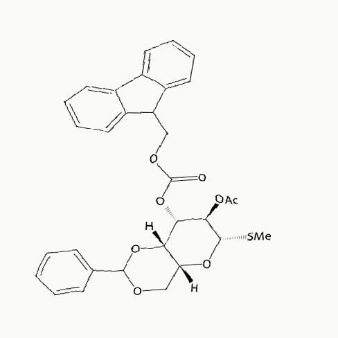 CS[C@@H]1O[C@@H]2COC(c3ccccc3)O[C@@H]2[C@H](OC(=O)OCC2c3ccccc3-c3ccccc32)[C@H]1OC(C)=O